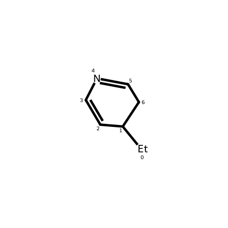 CCC1C=CN=CC1